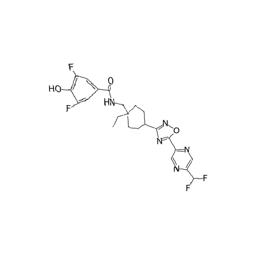 CCC1(CNC(=O)c2cc(F)c(O)c(F)c2)CCC(c2noc(-c3cnc(C(F)F)cn3)n2)CC1